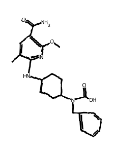 COc1nc(NC2CCC(N(Cc3ccccc3)C(=O)O)CC2)c(C)cc1C(N)=O